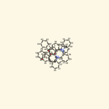 c1ccc(-c2ccccc2-n2c3c(-c4ccccc4)cccc3c3cccc(-n4c5ccccc5c5ccc([Si](c6ccccc6)(c6ccccc6)c6ccccc6)cc54)c32)cc1